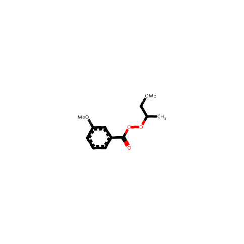 COC[C](C)OOC(=O)c1cccc(OC)c1